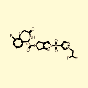 O=C1COc2c(F)cccc2[C@@H](C(=O)N2Cc3cn(S(=O)(=O)c4cnn(CC(F)F)c4)nc3C2)N1